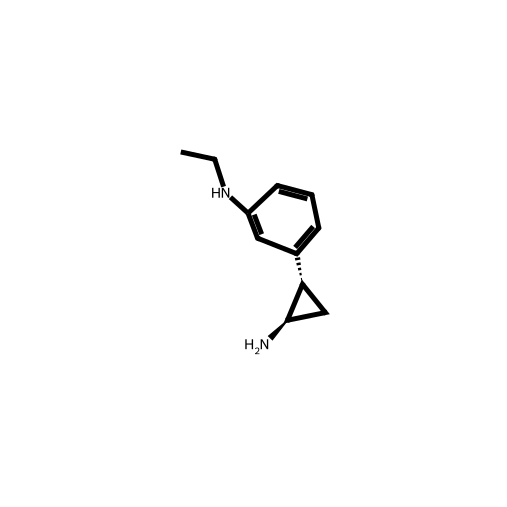 CCNc1cccc([C@@H]2C[C@H]2N)c1